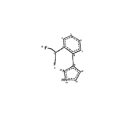 FC(F)c1ccccc1-c1cc[nH]n1